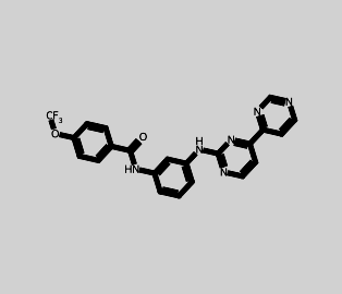 O=C(Nc1cccc(Nc2nccc(-c3ccncn3)n2)c1)c1ccc(OC(F)(F)F)cc1